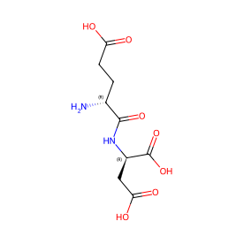 N[C@H](CCC(=O)O)C(=O)N[C@H](CC(=O)O)C(=O)O